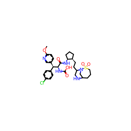 COc1ccc([C@H](c2ccc(Cl)cc2)[C@H](NC(=O)O)C(=O)N[C@H]2CCC[C@H]2CCC2CNC3CCCS(=O)(=O)N2C3)cn1